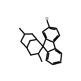 CC1CC2CC(C)C3(c4ccccc4-c4ccc(Cl)cc43)C(C1)C2